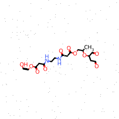 CC(COC(=O)CC(=O)NCCNC(=O)CC(=O)O/C=C\O)OC(C=O)CC=O